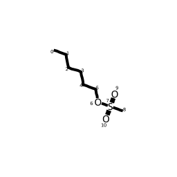 [CH2]CCCCCOS(C)(=O)=O